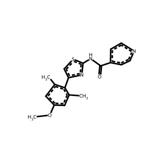 COc1cc(C)c(-c2csc(NC(=O)c3ccncc3)n2)c(C)c1